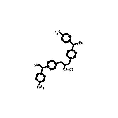 CCCCCCCC(Cc1ccc(C(CCCC)c2ccc(N)cc2)cc1)Cc1ccc(C(CCCC)c2ccc(N)cc2)cc1